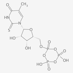 Cc1cn([C@@H]2O[C@H](COP3(=O)OP(=O)(O)OP(=O)(O)O3)[C@H](O)[C@@H]2O)c(=S)[nH]c1=O